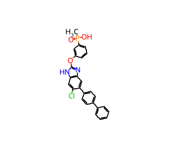 CP(=O)(O)c1cccc(Oc2nc3cc(-c4ccc(-c5ccccc5)cc4)c(Cl)cc3[nH]2)c1